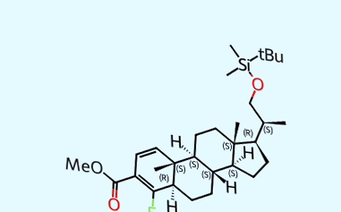 COC(=O)C1=C(F)[C@@H]2CC[C@@H]3[C@H](CC[C@]4(C)[C@@H]([C@H](C)CO[Si](C)(C)C(C)(C)C)CC[C@@H]34)[C@@]2(C)C=C1